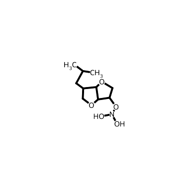 CC(C)CC1COC2C(ON(O)O)COC12